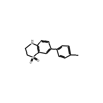 Cc1ccc(-c2ccc3c(c2)S(=O)(=O)CCN3)cc1